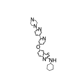 CN1CCN(c2ccc(-c3cc(Oc4ccc5nc(NC6CCCCC6)sc5c4)ccn3)cn2)CC1